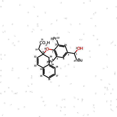 CCCCC(O)c1cc(CCC)c(OC2(CC(=O)O)C=Cc3ccccc3C2)c(CCC)c1